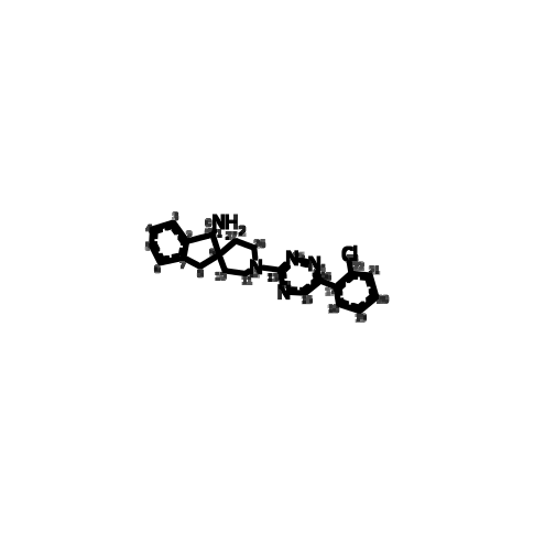 N[C@@H]1c2ccccc2CC12CCN(c1ncc(-c3ccccc3Cl)nn1)CC2